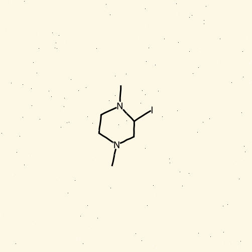 CN1CCN(C)C(I)C1